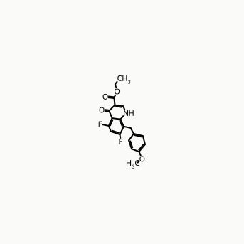 CCOC(=O)c1c[nH]c2c(Cc3ccc(OC)cc3)c(F)cc(F)c2c1=O